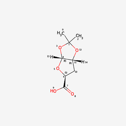 CC1(C)O[C@H]2O[C@H](C(=O)O)C[C@H]2O1